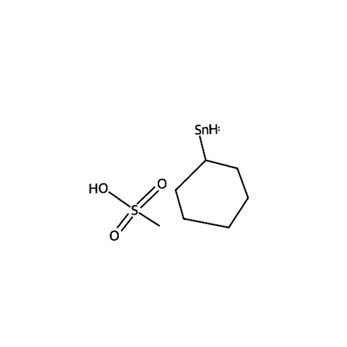 CS(=O)(=O)O.[SnH][CH]1CCCCC1